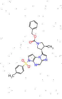 Cc1ccc(S(=O)(=O)n2ccc3c2ncc2ncc([C@H]4CN(C(=O)OCc5ccccc5)C[C@H]4C)n23)cc1